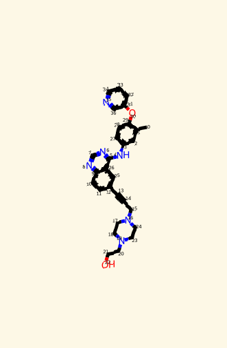 Cc1cc(Nc2ncnc3ccc(C#CCN4CCN(CCO)CC4)cc23)ccc1Oc1cccnc1